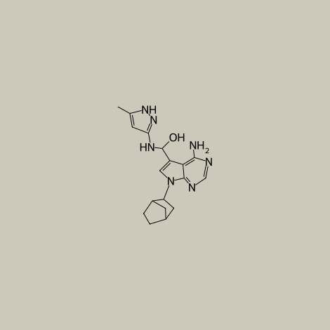 Cc1cc(NC(O)c2cn(C3CC4CCC3C4)c3ncnc(N)c23)n[nH]1